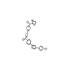 O=C(c1ccc(-n2cc(-c3ccc(Cl)cc3)cn2)cc1)N1CC(N2CCN(C(=O)c3nccs3)CC2)C1